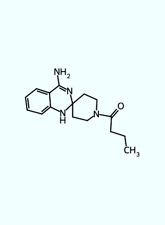 CCCC(=O)N1CCC2(CC1)N=C(N)c1ccccc1N2